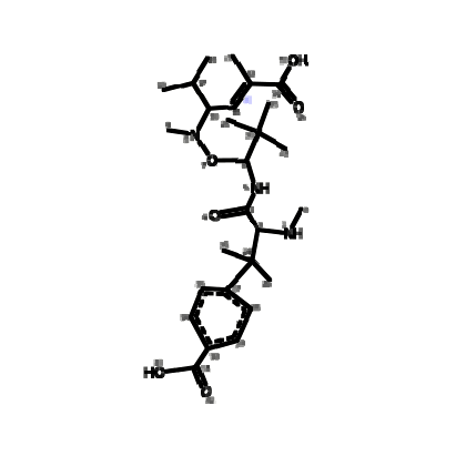 CNC(C(=O)NC(ON(C)C(/C=C(\C)C(=O)O)C(C)C)C(C)(C)C)C(C)(C)c1ccc(C(=O)O)cc1